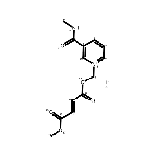 CNC(=O)c1ccc[n+](COC(=O)C=CC(=O)OC)c1.[I-]